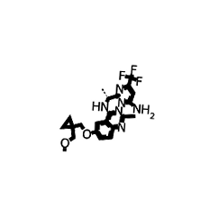 COCC1(COc2ccc3nc(C)nc(N[C@H](C)c4nc(N)cc(C(F)(F)F)n4)c3c2)CC1